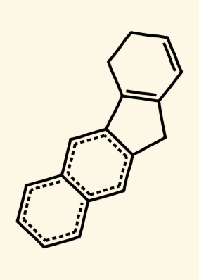 C1=CC2=C(CC1)c1cc3ccccc3cc1C2